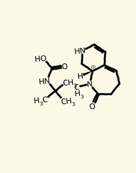 CC(C)(C)NC(=O)O.CN1C(=O)CCC=C2C=CNC[C@H]21